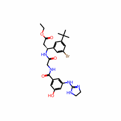 CCOC(=O)C[C@H](NC(=O)CNC(=O)c1cc(O)cc(NC2=NCCN2)c1)c1cc(Br)cc(C(C)(C)C)c1